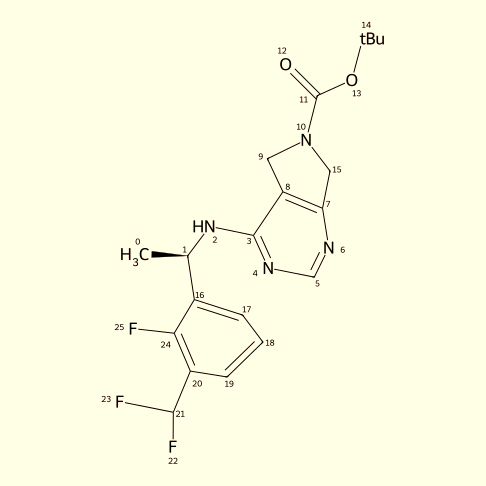 C[C@@H](Nc1ncnc2c1CN(C(=O)OC(C)(C)C)C2)c1cccc(C(F)F)c1F